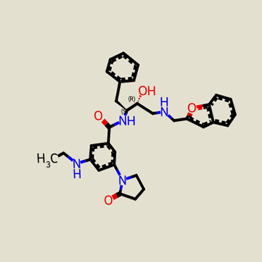 CCNc1cc(C(=O)N[C@@H](Cc2ccccc2)[C@H](O)CNCc2cc3ccccc3o2)cc(N2CCCC2=O)c1